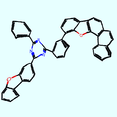 c1ccc(-c2nc(-c3cccc(-c4cccc5c4oc4c5ccc5ccc6ccccc6c54)c3)nc(-c3ccc4c(c3)oc3ccccc34)n2)cc1